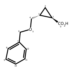 O=C(O)[C@@H]1C[C@H]1COCc1ccccc1